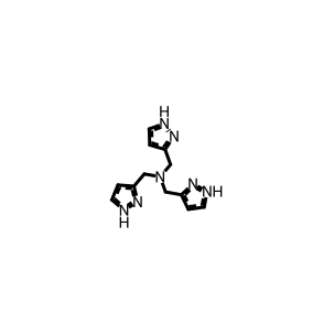 c1cc(CN(Cc2cc[nH]n2)Cc2cc[nH]n2)n[nH]1